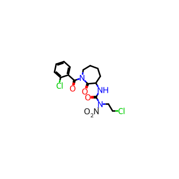 O=C(c1ccccc1Cl)N1CCCCC(NC(=O)N(CCCl)[N+](=O)[O-])C1=O